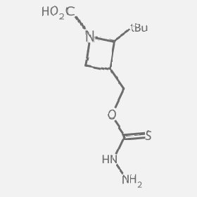 CC(C)(C)C1C(COC(=S)NN)CN1C(=O)O